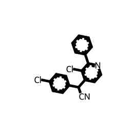 N#CC(c1ccc(Cl)cc1)c1ccnc(-c2ccccc2)c1Cl